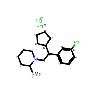 CNC1CCCCN1CC(c1cccc(Cl)c1)C1CCCC1.Cl.Cl